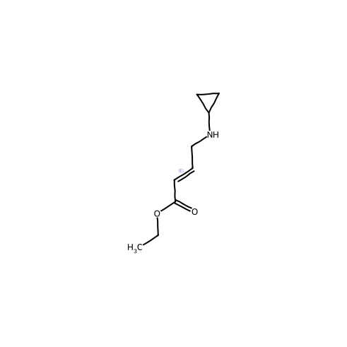 CCOC(=O)/C=C/CNC1CC1